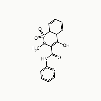 CN1C(C(=O)Nc2ccccn2)=C(O)C2C=CC=CC2S1(=O)=O